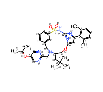 Cc1cccc(C)c1-c1cc2nc(n1)NS(=O)(=O)c1cccc(c1)CN(Cc1ncc(OC(C)C)cn1)[C@H](CC(C)(C)C)CO2